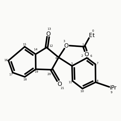 CCC(=O)OC1(c2[c]cc(C(C)C)cc2)C(=O)c2ccccc2C1=O